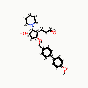 COc1ccc(-c2ccc(CO[C@H]3C[C@H](O)[C@H](N4CCCCC4)[C@H]3CCC=O)cc2)cc1